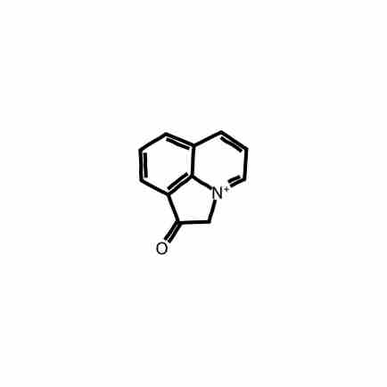 O=C1C[n+]2cccc3cccc1c32